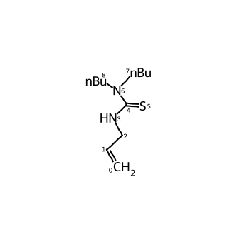 C=CCNC(=S)N(CCCC)CCCC